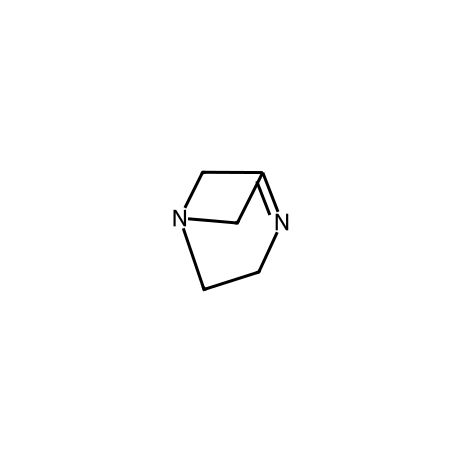 C1CN2CC(=N1)C2